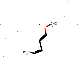 O=CO/C=C/C=C\C(=O)O